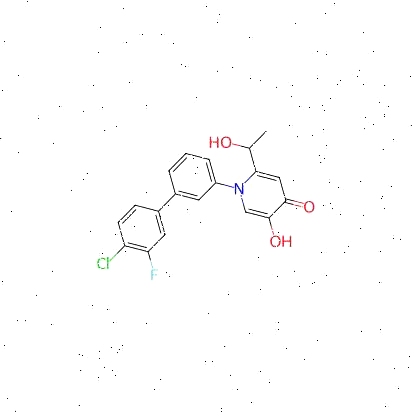 CC(O)c1cc(=O)c(O)cn1-c1cccc(-c2ccc(Cl)c(F)c2)c1